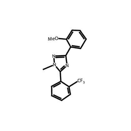 COc1ccccc1-c1nc(-c2ccccc2C(F)(F)F)n(C)n1